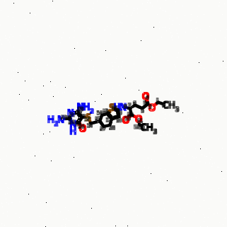 CCOC(=O)CC[C@H](Nc1cc2c(s1)CC(CSc1c(N)nc(N)[nH]c1=O)CC2)C(=O)OCC